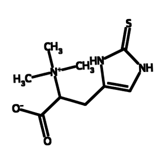 C[N+](C)(C)C(Cc1c[nH]c(=S)[nH]1)C(=O)[O-]